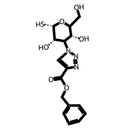 O=C(OCc1ccccc1)c1cn(C2[C@@H](O)C(CO)O[C@@H](S)[C@H]2O)nn1